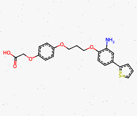 Nc1cc(-c2cccs2)ccc1OCCCOc1ccc(OCC(=O)O)cc1